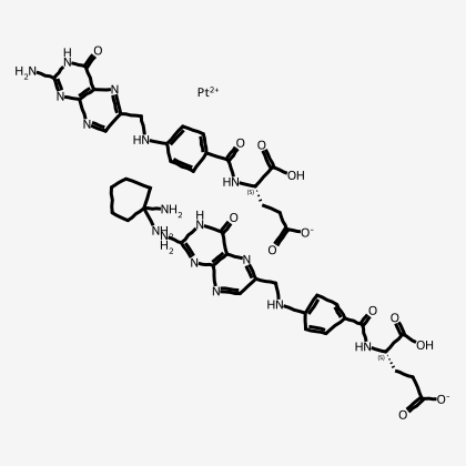 NC1(N)CCCCC1.Nc1nc2ncc(CNc3ccc(C(=O)N[C@@H](CCC(=O)[O-])C(=O)O)cc3)nc2c(=O)[nH]1.Nc1nc2ncc(CNc3ccc(C(=O)N[C@@H](CCC(=O)[O-])C(=O)O)cc3)nc2c(=O)[nH]1.[Pt+2]